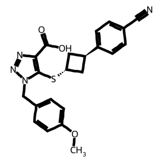 COc1ccc(Cn2nnc(C(=O)O)c2S[C@H]2C[C@H](c3ccc(C#N)cc3)C2)cc1